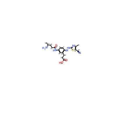 Cc1nc(N=Nc2ccc(NC(=O)CCC(C)N)cc2CCC(=O)O)sc1C#N